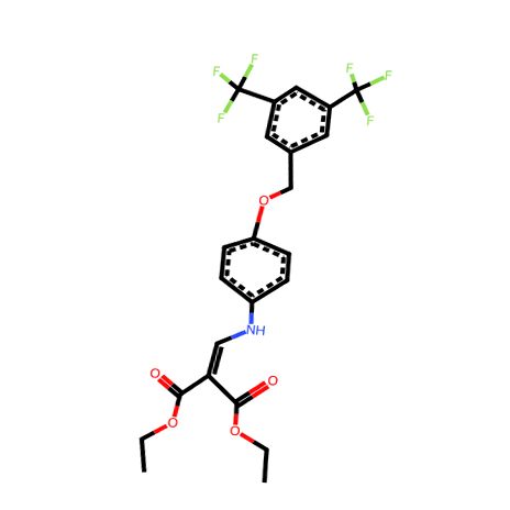 CCOC(=O)C(=CNc1ccc(OCc2cc(C(F)(F)F)cc(C(F)(F)F)c2)cc1)C(=O)OCC